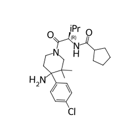 CC(C)[C@@H](NC(=O)C1CCCC1)C(=O)N1CCC(N)(c2ccc(Cl)cc2)C(C)(C)C1